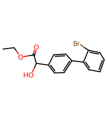 CCOC(=O)C(O)c1ccc(-c2ccccc2Br)cc1